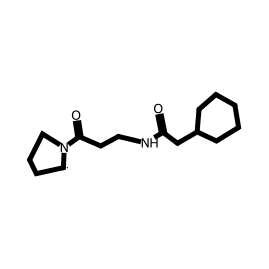 O=C(CC1CCCCC1)NCCC(=O)N1[CH]CCC1